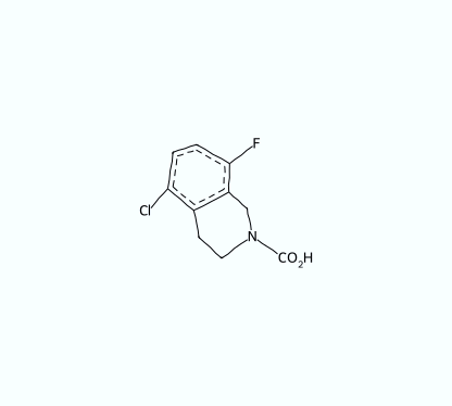 O=C(O)N1CCc2c(Cl)ccc(F)c2C1